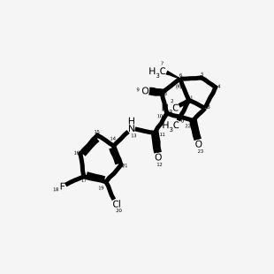 CC1(C)C2CC[C@@]1(C)C(=O)C(C(=O)Nc1ccc(F)c(Cl)c1)C2=O